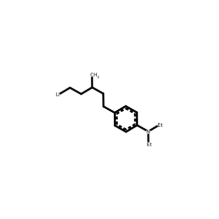 [Li][CH2]CC(C)CCc1ccc(N(CC)CC)cc1